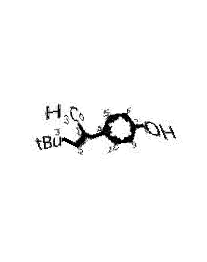 CC(CC(C)(C)C)c1ccc(O)cc1